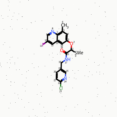 CSC(Oc1cc(C)c2ncc(I)cc2c1)C(=O)NCc1ccc(Cl)nc1